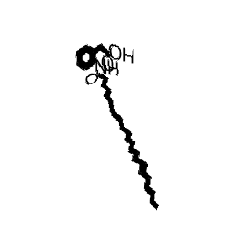 CCC=CCC=CCC=CCC=CCC=CCC=CCCC(=O)Nc1ccccc1CC(=O)O